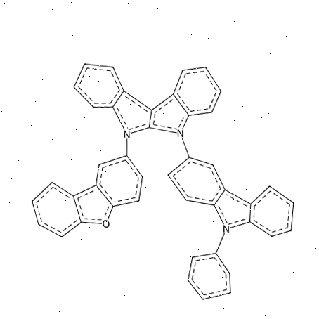 c1ccc(-n2c3ccccc3c3cc(-n4c5ccccc5c5c6ccccc6n(-c6ccc7oc8ccccc8c7c6)c54)ccc32)cc1